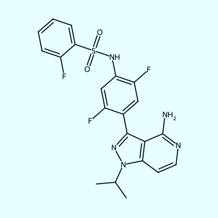 CC(C)n1nc(-c2cc(F)c(NS(=O)(=O)c3ccccc3F)cc2F)c2c(N)nccc21